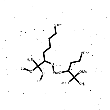 CCCCCCCCCCCCC(OC)C([SiH3])(OC)OC.CCCCCCCCCCCCCCC(OCC)C([SiH3])(OCC)OCC